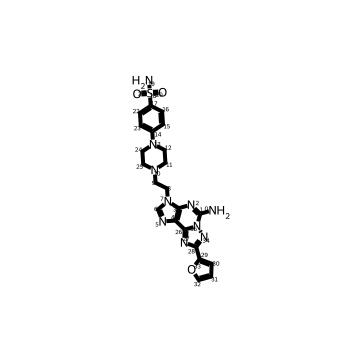 Nc1nc2c(ncn2CCN2CCN(c3ccc(S(N)(=O)=O)cc3)CC2)c2nc(-c3ccco3)nn12